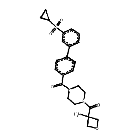 NC1(C(=O)N2CCN(C(=O)c3ccc(-c4cccc(S(=O)(=O)C5CC5)c4)cc3)CC2)COC1